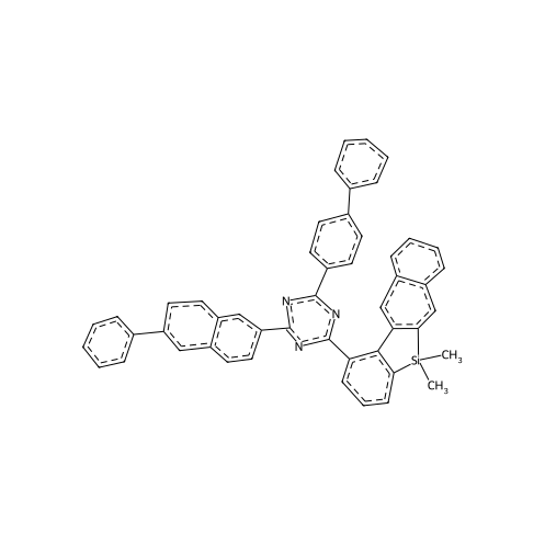 C[Si]1(C)c2cc3ccccc3cc2-c2c(-c3nc(-c4ccc(-c5ccccc5)cc4)nc(-c4ccc5cc(-c6ccccc6)ccc5c4)n3)cccc21